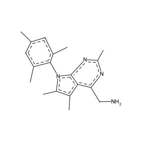 Cc1cc(C)c(-n2c(C)c(C)c3c(CN)nc(C)nc32)c(C)c1